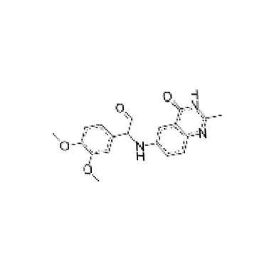 COc1ccc(C(C=O)Nc2ccc3nc(C)[nH]c(=O)c3c2)cc1OC